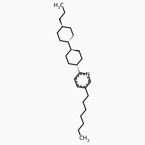 CCCCCCCc1ccc([C@H]2CC[C@H]([C@H]3CC[C@H](CCC)CC3)CC2)nc1